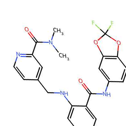 CN(C)C(=O)c1cc(CNc2ccccc2C(=O)Nc2ccc3c(c2)OC(F)(F)O3)ccn1